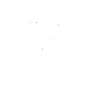 NC(=O)C1(C(=O)NC2(c3cc(-c4cn[nH]c4)ccn3)CC2)CC1.O=C(O)C(F)(F)F